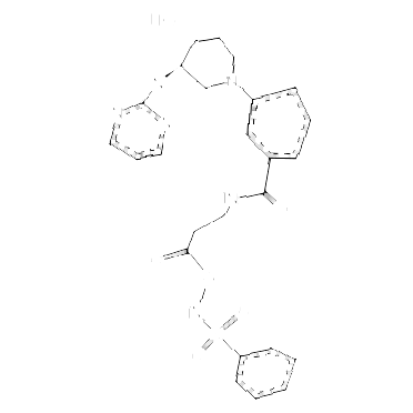 O=C(CCNC(=O)c1cccc(N2CC[C@@H](O)[C@H](Nc3ncccn3)C2)c1)ONS(=O)(=O)c1ccccc1